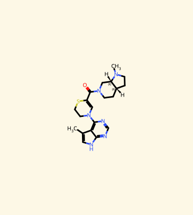 Cc1c[nH]c2ncnc(N3C=C(C(=O)N4CC[C@H]5CCN(C)[C@H]5C4)SCC3)c12